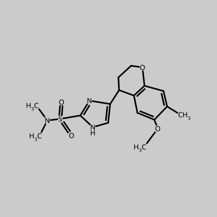 COc1cc2c(cc1C)OCCC2c1c[nH]c(S(=O)(=O)N(C)C)n1